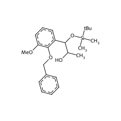 COc1cccc(C(O[Si](C)(C)C(C)(C)C)C(C)O)c1OCc1ccccc1